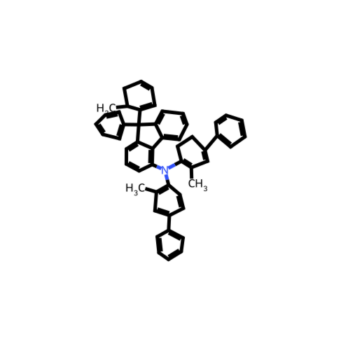 CC1=C(N(c2ccc(-c3ccccc3)cc2C)c2cccc3c2-c2ccccc2C3(C2=CC=CCC2C)c2ccccc2)CCC(c2ccccc2)=C1